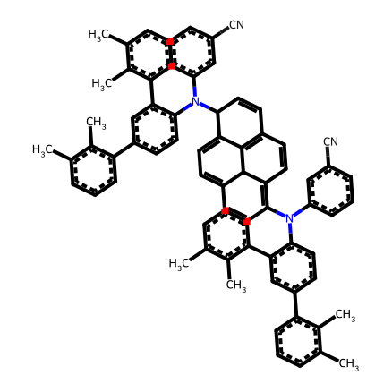 Cc1cccc(-c2ccc(N(C3=C4C=CC5=C6C(=CC=C(C=C3)C46)C(N(c3cccc(C#N)c3)c3ccc(-c4cccc(C)c4C)cc3-c3cccc(C)c3C)C=C5)c3cccc(C#N)c3)c(-c3cccc(C)c3C)c2)c1C